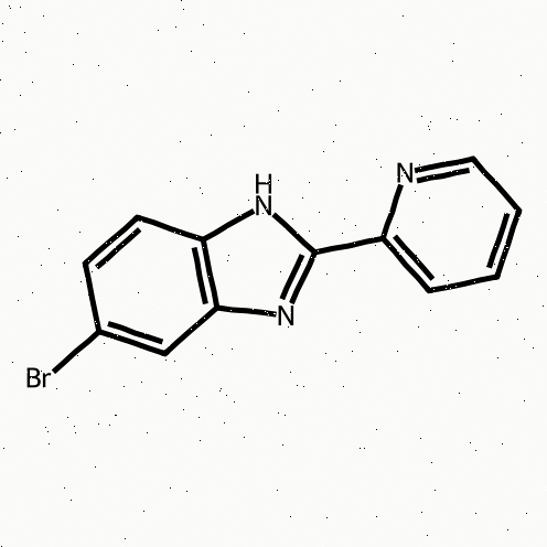 Brc1ccc2[nH]c(-c3ccccn3)nc2c1